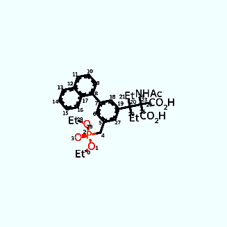 CCOP(=O)(Cc1cc(-c2cccc3ccccc23)cc(C(CC)(CC)C(NC(C)=O)(C(=O)O)C(=O)O)c1)OCC